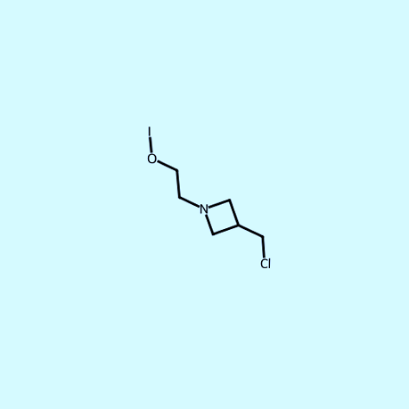 ClCC1CN(CCOI)C1